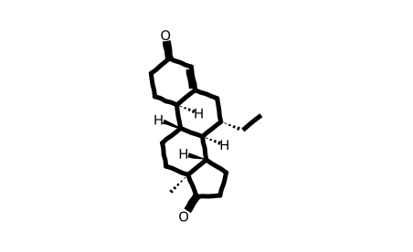 CC[C@H]1CC2=CC(=O)CC[C@@H]2[C@H]2CC[C@]3(C)C(=O)CC[C@H]3[C@H]12